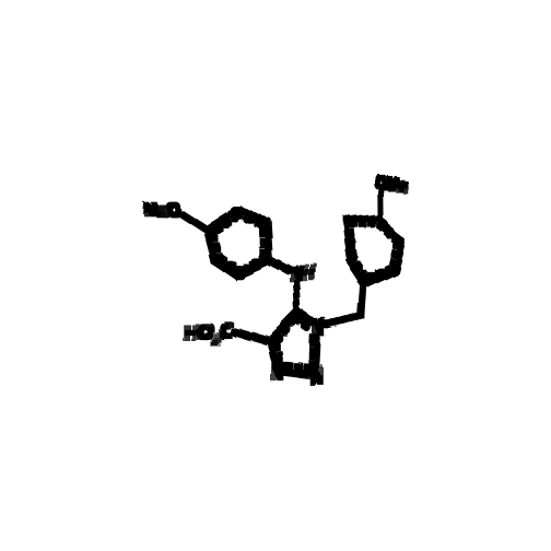 COc1ccc(Cn2nnc(C(=O)O)c2Nc2ccc(OC)cc2)cc1